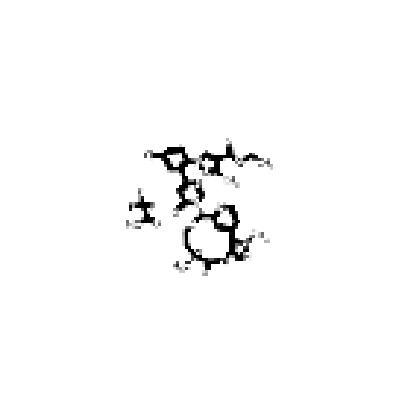 CCOC(=O)c1cn(-c2ccc(Cl)cc2-c2cc(=O)n([C@H]3CCC[C@@H](C)C(=O)Nc4cnn(C)c4-c4ccnc3c4)cn2)nc1C.O=C(O)C(F)(F)F